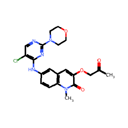 CC(=O)COc1cc2cc(Nc3nc(N4CCOCC4)ncc3Cl)ccc2n(C)c1=O